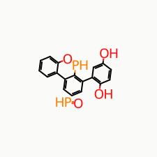 O=P.Oc1ccc(O)c(-c2cccc3c2POc2ccccc2-3)c1